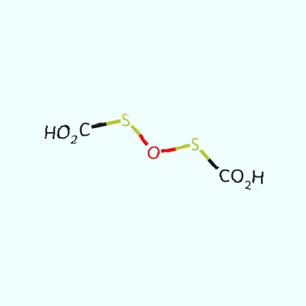 O=C(O)SOSC(=O)O